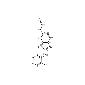 Cc1ccccc1Nc1nc2ccc(CC=O)cc2[nH]1